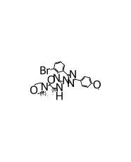 COc1ccc(-c2nc3c4cccc(Br)c4nc(N[C@H](C)C(=O)N4CCOC[C@H]4C)n3n2)cc1